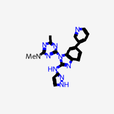 CNc1nc(C)nc(-n2c(Nc3cc[nH]n3)nc3ccc(-c4cccnc4)cc32)n1